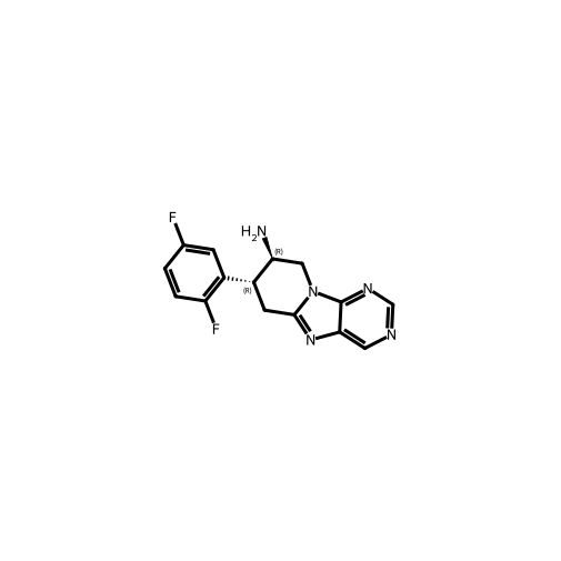 N[C@H]1Cn2c(nc3cncnc32)C[C@@H]1c1cc(F)ccc1F